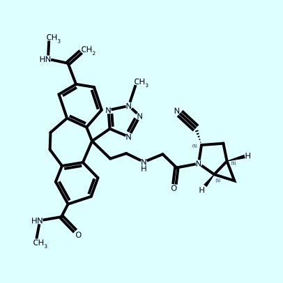 C=C(NC)c1ccc2c(c1)CCc1cc(C(=O)NC)ccc1C2(CCNCC(=O)N1[C@H](C#N)C[C@@H]2C[C@@H]21)c1nnn(C)n1